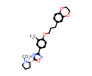 O=C(O)N1CCC[C@H]1c1nc(-c2ccc(OCCCc3ccc4c(c3)OCCO4)c(C(F)(F)F)c2)no1